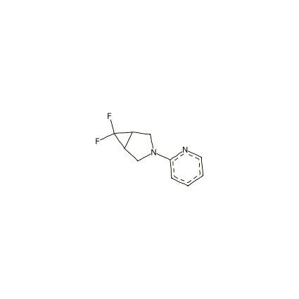 FC1(F)C2CN(c3ccccn3)CC21